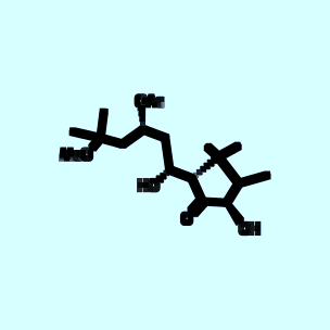 COC(C)(C)C[C@@H](C[C@@H](O)[C@H]1C(=O)[C@H](O)C(C)C1(C)C)OC(C)=O